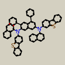 c1ccc(-c2cc3c(-c4ccccc4)cc(N(c4ccc5c(c4)sc4ccccc45)c4cccc5ccccc45)cc3cc2N(c2ccc3c(c2)sc2ccccc23)c2cccc3ccccc23)cc1